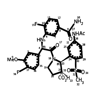 COc1cc([C@@H](Nc2cc(C(N)=O)ccc2F)C(=O)N2CC[C@@H](C(=O)O)[C@@H]2c2cc(NC(C)=O)ccc2S(C)(=O)=O)ccc1F